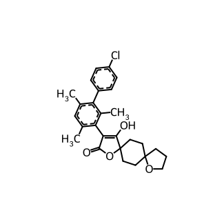 Cc1cc(C)c(-c2ccc(Cl)cc2)c(C)c1C1=C(O)C2(CCC3(CCCO3)CC2)OC1=O